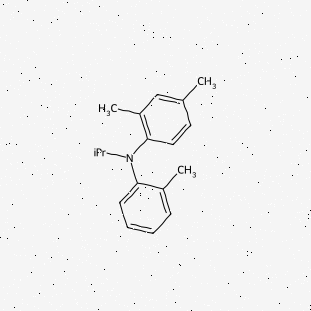 Cc1ccc(N(c2ccccc2C)C(C)C)c(C)c1